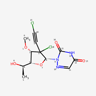 CO[C@H]1[C@@H]([C@@H](C)O)O[C@@H](n2ncc(=O)[nH]c2=O)C1(Cl)C#CCl